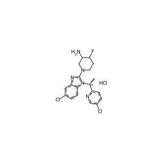 C[C@@H](c1ccc(Cl)cn1)n1c(N2CCC(F)C(N)C2)nc2cc(Cl)ccc21.Cl